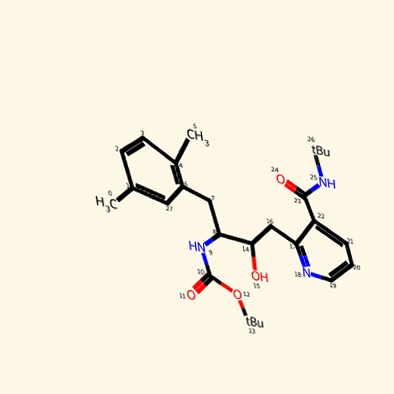 Cc1ccc(C)c(CC(NC(=O)OC(C)(C)C)C(O)Cc2ncccc2C(=O)NC(C)(C)C)c1